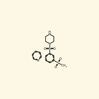 CS(=O)(=O)c1cccc(S(=O)(=O)N2CCNCC2)c1.c1ccncc1